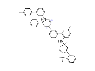 C=C(/C=C(\C=C/Nc1cccc(-c2ccc(C)cc2)c1)c1cccc(C2=C(NC3(C)C=C4C(=CC3)C(C)(C)c3ccccc34)C=CC(C)C2)c1)c1ccccc1